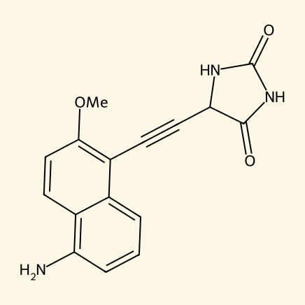 COc1ccc2c(N)cccc2c1C#CC1NC(=O)NC1=O